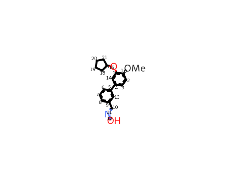 COc1ccc(-c2cccc(C=NO)c2)cc1OC1CCCC1